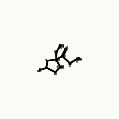 CC(C)(C)OC(=O)[C@@]1(CO)CC(F)CN1